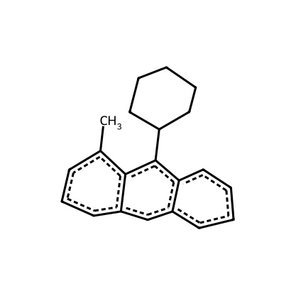 Cc1cccc2cc3ccccc3c(C3CCCCC3)c12